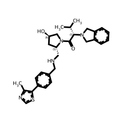 Cc1ncsc1-c1ccc(CNC[C@@H]2C[C@@H](O)CN2C(=O)[C@H](C(C)C)N2Cc3ccccc3C2)cc1